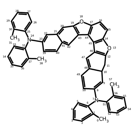 Cc1ccccc1N(C1=CC2Cc3oc4ccc5oc6cc7cc(N(c8ccccc8C)c8ccccc8C)ccc7cc6c5c4c3C=C2C=C1)c1ccccc1C